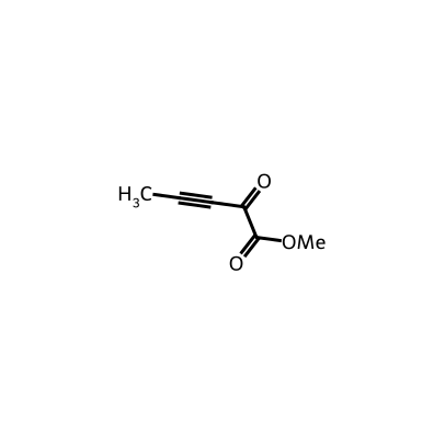 CC#CC(=O)C(=O)OC